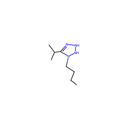 CCCCN1NNN=C1C(C)C